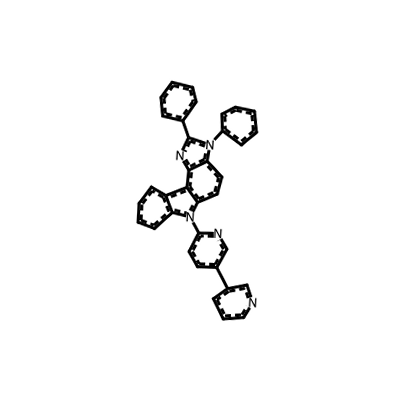 c1ccc(-c2nc3c4c5ccccc5n(-c5ccc(-c6cccnc6)cn5)c4ccc3n2-c2ccccc2)cc1